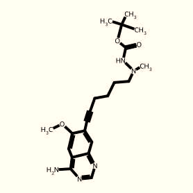 COc1cc2c(N)ncnc2cc1C#CCCCCN(C)NC(=O)OC(C)(C)C